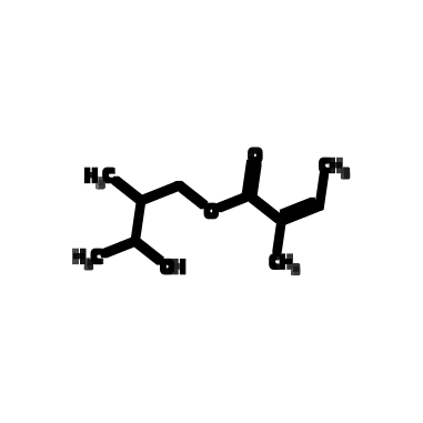 CC=C(C)C(=O)OCC(C)C(C)O